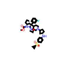 COC(=O)N[C@H]1CCC[C@@H]1[C@](CN1CCC1)(c1cccc(F)c1)C1CCN(C2CC[C@H](Nc3ccc(S(=O)(=O)C4CC4)cc3)C2)CC1